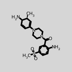 C[C@H]1C=C(N2CCN(C(=O)c3cc(S(C)(=O)=O)ccc3N)CC2)C=CC1N